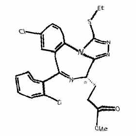 CCSc1nnc2n1-c1ccc(Cl)cc1C(c1ccccc1Cl)=N[C@H]2CCC(=O)OC